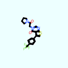 O=C(Cn1cnc2scc(-c3ccc(C(F)(F)F)cc3)c2c1=O)N1CCCC1